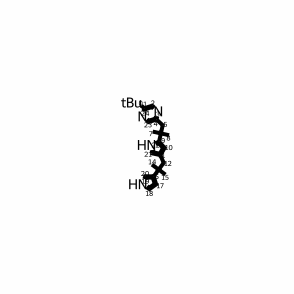 CC(C)(C)c1cnc(CC(C)(C)c2cc(CC(C)(C)c3cc[nH]c3)c[nH]2)cn1